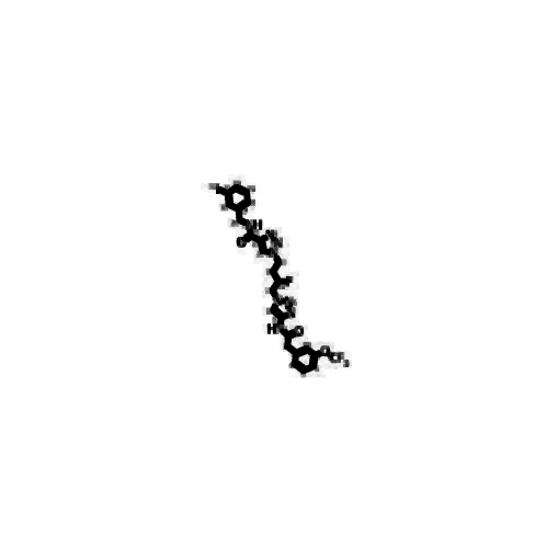 O=C(Cc1cccc(OC(F)(F)F)c1)Nc1cn(CC(F)CCn2cc(C(=O)NCc3cccc(I)c3)nn2)nn1